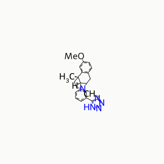 COc1ccc2c(c1)[C@@]1(C)CCN(C)C(C2)[C@@H]1c1cccc(-c2nnn[nH]2)c1